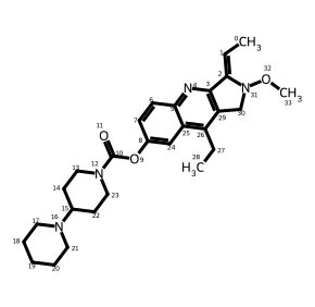 C/C=C1/c2nc3ccc(OC(=O)N4CCC(N5CCCCC5)CC4)cc3c(CC)c2CN1OC